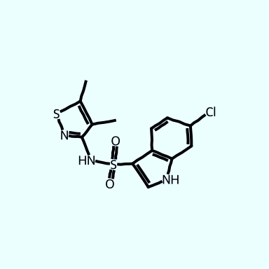 Cc1snc(NS(=O)(=O)c2c[nH]c3cc(Cl)ccc23)c1C